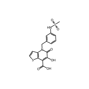 CS(=O)(=O)Nc1cccc(Cn2c(=O)c(O)c(C(=O)O)c3sccc32)c1